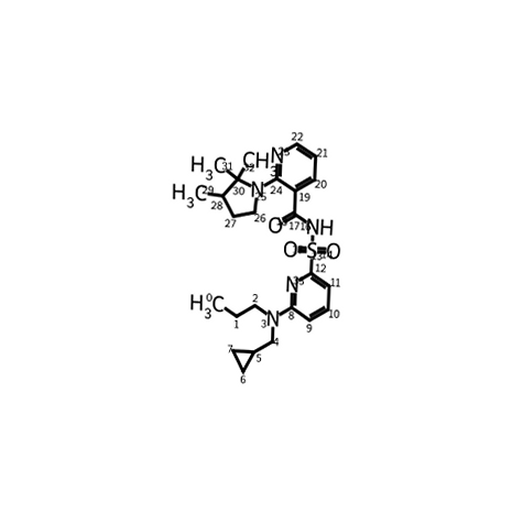 CCCN(CC1CC1)c1cccc(S(=O)(=O)NC(=O)c2cccnc2N2CCC(C)C2(C)C)n1